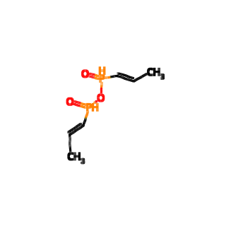 CC=C[PH](=O)O[PH](=O)C=CC